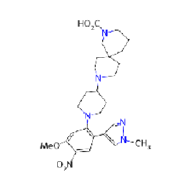 COc1cc(N2CCC(N3CCC4(CCCN(C(=O)O)C4)CC3)CC2)c(-c2cnn(C)c2)cc1[N+](=O)[O-]